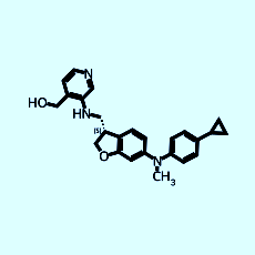 CN(c1ccc(C2CC2)cc1)c1ccc2c(c1)OC[C@@H]2CNc1cnccc1CO